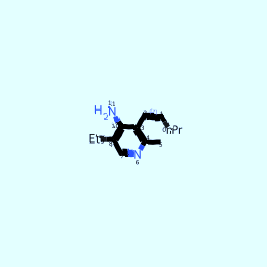 CCC/C=C\c1c(C)ncc(CC)c1N